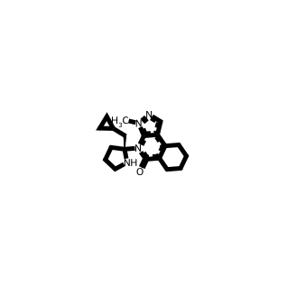 Cn1ncc2c3c(c(=O)n([C@@]4(CC5CC5)CCCN4)c21)CCCC3